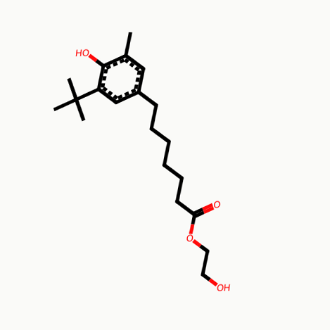 Cc1cc(CCCCCCC(=O)OCCO)cc(C(C)(C)C)c1O